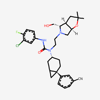 CC1(C)C[C@H]2[C@H](CN(CCN(C(=O)Nc3ccc(F)c(Cl)c3)[C@@H]3CC[C@]4(c5cccc(C#N)c5)CC4C3)[C@@H]2CO)O1